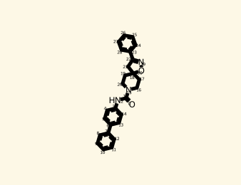 O=C(Nc1ccc(-c2ccccc2)cc1)N1CCC2(CC1)CC(c1ccccc1)=NO2